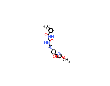 COc1ccc([C@]2(O)CC[C@H](N3CC(NC(=O)CNC(=O)c4cccc(C)c4)C3)CC2)nc1